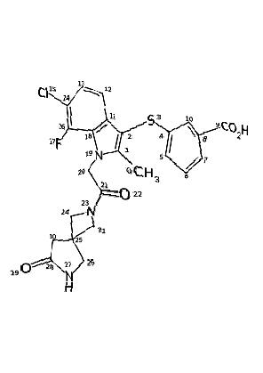 Cc1c(Sc2cccc(C(=O)O)c2)c2ccc(Cl)c(F)c2n1CC(=O)N1CC2(CNC(=O)C2)C1